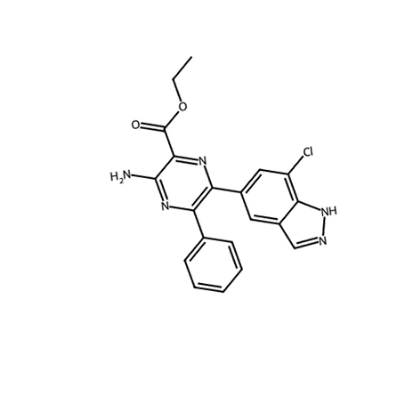 CCOC(=O)c1nc(-c2cc(Cl)c3[nH]ncc3c2)c(-c2ccccc2)nc1N